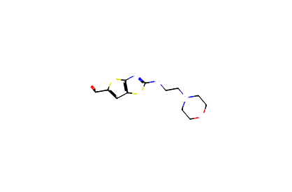 O=Cc1cc2sc(NCCN3CCOCC3)nc2s1